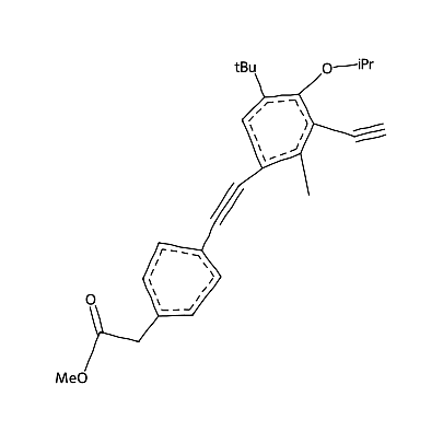 C#Cc1c(C)c(C#Cc2ccc(CC(=O)OC)cc2)cc(C(C)(C)C)c1OC(C)C